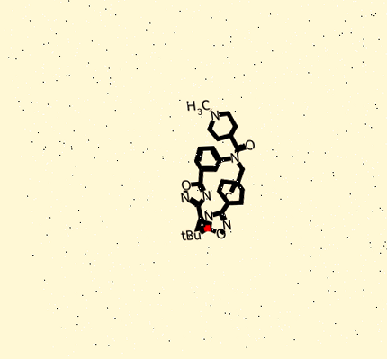 CN1CCC(C(=O)N(CC23CCC(c4noc(C(C)(C)C)n4)(CC2)CC3)c2cccc(-c3nc(C4CC4)no3)c2)CC1